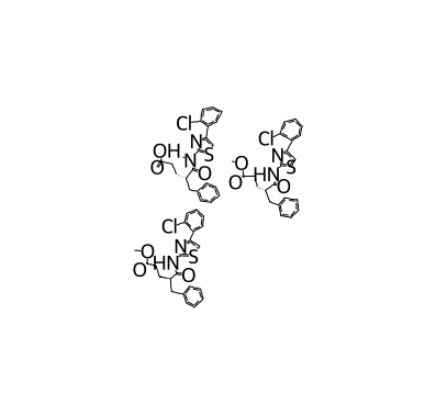 CN(C(=O)[C@@H](CCC(=O)O)Cc1ccccc1)c1nc(-c2ccccc2Cl)cs1.COC(=O)CC[C@@H](Cc1ccccc1)C(=O)Nc1nc(-c2ccccc2Cl)cs1.COC(=O)CC[C@H](Cc1ccccc1)C(=O)Nc1nc(-c2ccccc2Cl)cs1